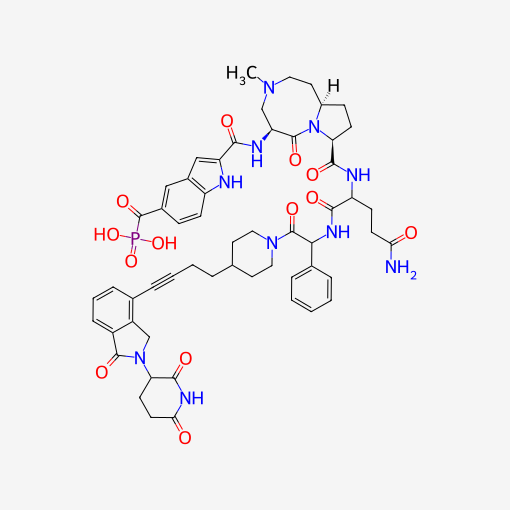 CN1CC[C@H]2CC[C@@H](C(=O)NC(CCC(N)=O)C(=O)NC(C(=O)N3CCC(CCC#Cc4cccc5c4CN(C4CCC(=O)NC4=O)C5=O)CC3)c3ccccc3)N2C(=O)[C@@H](NC(=O)c2cc3cc(C(=O)P(=O)(O)O)ccc3[nH]2)C1